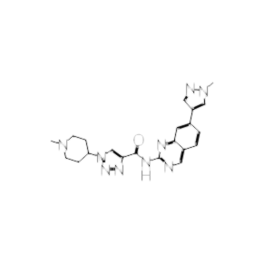 CN1CCC(n2cc(C(=O)Nc3ncc4ccc(-c5cnn(C)c5)cc4n3)nn2)CC1